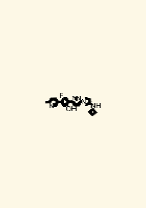 Cc1ccc(-c2cc(O)c(-c3ccc(N4CC[C@H](NC5CCC5)C4)nn3)cc2F)cn1